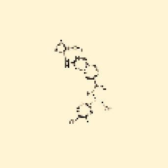 Cn1nccc1Nc1cc2cc(C(=O)N[C@H](CO)c3ccc(Cl)c(F)c3)ccc2cn1